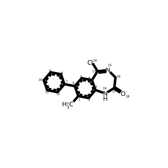 Cc1cc2c(cc1-c1ccccc1)C(Cl)=NCC(=O)N2